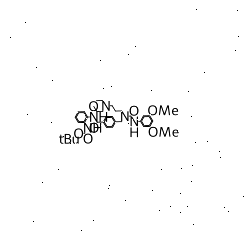 COc1cc(NC(=O)N(CCCN2CCOCC2)Cc2ccc(C(=O)Nc3ccccc3NC(=O)OC(C)(C)C)cc2)cc(OC)c1